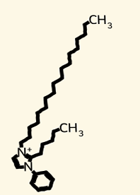 CCCCCCCCCCCCCCCCCC[n+]1ccn(-c2ccccc2)c1CCCCC